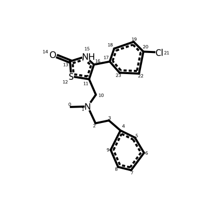 CN(CCc1ccccc1)Cc1sc(=O)[nH]c1-c1ccc(Cl)cc1